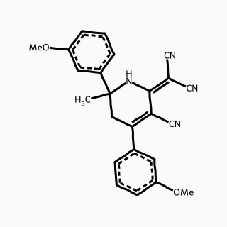 COc1cccc(C2=C(C#N)C(=C(C#N)C#N)NC(C)(c3cccc(OC)c3)C2)c1